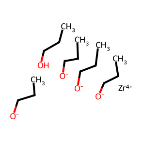 CCCO.CCC[O-].CCC[O-].CCC[O-].CCC[O-].[Zr+4]